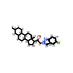 CC1CCC2C(CCC3C2CCC2(C)C(C(=O)Cn4cc5cc(F)ccc5n4)CCC32)C1